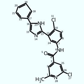 Cc1cc(C(=O)Nc2ccc(Cl)c(-c3ncc(-c4ccccc4)[nH]3)c2)cc(Cl)n1